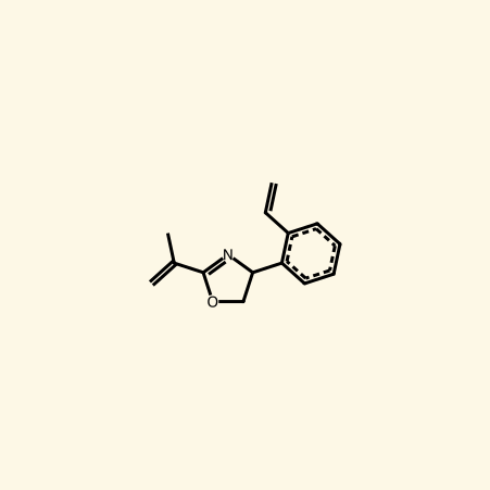 C=Cc1ccccc1C1COC(C(=C)C)=N1